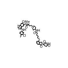 COc1cc2ncnc(Nc3ccc(F)c(Cl)c3)c2cc1NC(=O)CCCN1CCC(NC(=O)CCCCSc2cccc3c2CN(C2CCC(=O)NC2=O)C3=O)CC1